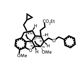 CCOC(=O)CC[C@H]1[C@H](COCc2ccccc2)[C@]2(OC)CC[C@]13[C@H]1Cc4ccc(OC)c5c4[C@@]3(CCN1CC1CC1)[C@H]2O5